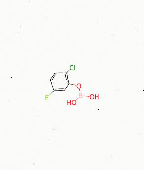 OB(O)Oc1cc(F)ccc1Cl